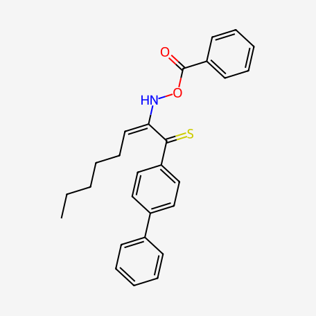 CCCCCC=C(NOC(=O)c1ccccc1)C(=S)c1ccc(-c2ccccc2)cc1